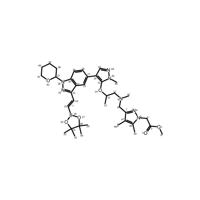 COC(=O)Cn1nc(CN(C)CC(C)Oc2c(-c3ccc4c(c3)c(/C=C/B3OC(C)(C)C(C)(C)O3)nn4C3CCCCO3)cnn2C)c(I)c1C